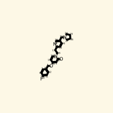 O=c1cc(OCc2ccc(F)cc2)ccn1CCc1ccc(CN2CCCC2)cn1